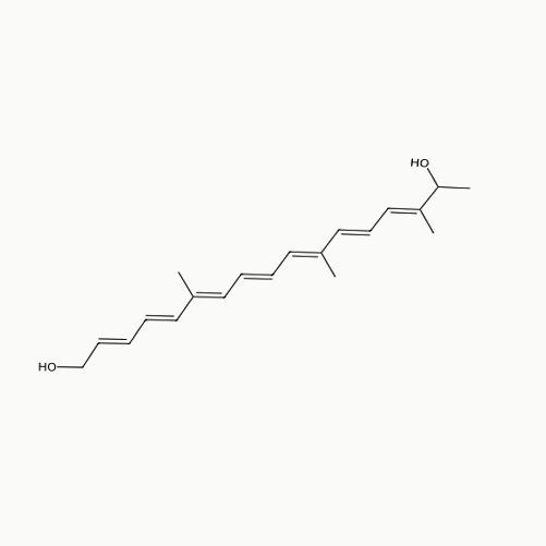 CC(/C=C/C=C/CO)=C\C=C\C=C(C)\C=C\C=C(/C)C(C)O